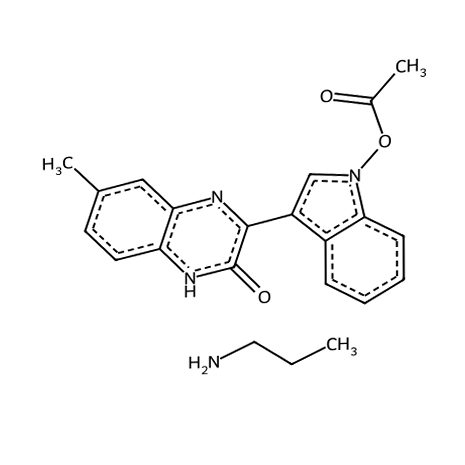 CC(=O)On1cc(-c2nc3cc(C)ccc3[nH]c2=O)c2ccccc21.CCCN